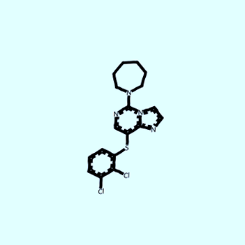 Clc1cccc(Sc2cnc(N3CCCCCC3)n3ccnc23)c1Cl